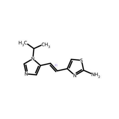 CC(C)n1cncc1/C=C/c1csc(N)n1